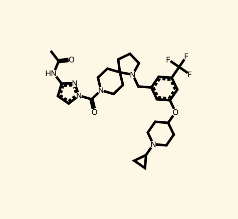 CC(=O)Nc1ccn(C(=O)N2CCC3(CCCN3Cc3cc(OC4CCN(C5CC5)CC4)cc(C(F)(F)F)c3)CC2)n1